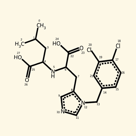 CC(C)CC(NC(Cc1cncn1Cc1ccc(Cl)c(Cl)c1)C(=O)O)C(=O)O